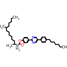 CCCCCCCc1ccc(-c2cnc(-c3ccc4c(c3)OC([SiH2]C(C)CCCCCCC(C)CCCCC)O4)nc2)cc1